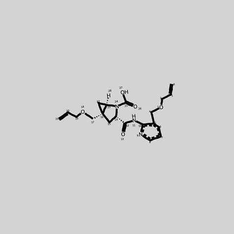 C=CCOCc1cccnc1NC(=O)[C@@H]1C[C@@]2(COCC=C)C[C@H]2N1C(=O)O